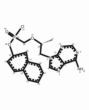 C[C@H](Cn1cnc2c(N)ncnc21)OCP(=O)(Cl)Oc1ccc2ccccc2c1